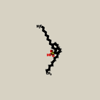 CCCCCCCCCc1ccc2ccc(CCCCCCCCC)c(S(=O)(=O)O)c2c1